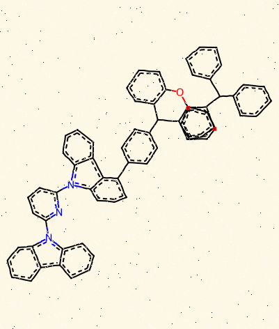 c1ccc(C(c2ccccc2)c2ccccc2Oc2ccccc2C(c2ccccc2)c2ccc(-c3cccc4c3c3ccccc3n4-c3cccc(-n4c5ccccc5c5ccccc54)n3)cc2)cc1